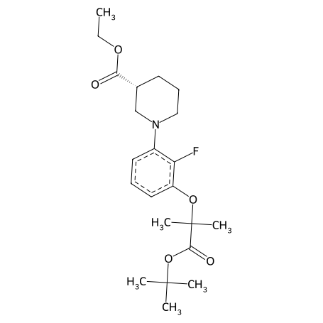 CCOC(=O)[C@@H]1CCCN(c2cccc(OC(C)(C)C(=O)OC(C)(C)C)c2F)C1